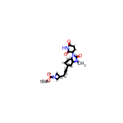 Cn1c(=O)n(C2CCC(=O)NC2=O)c2ccc(C#CCC3CN(C(=O)OC(C)(C)C)C3)cc21